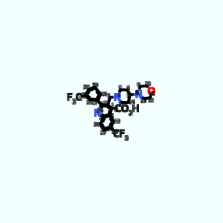 O=C(O)c1c(CN2CCC(N3CCOCC3)CC2)c(-c2cccc(C(F)(F)F)c2)nc2ccc(C(F)(F)F)cc12